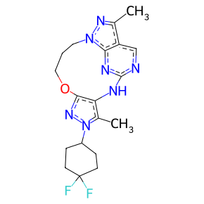 Cc1nn2c3nc(ncc13)Nc1c(nn(C3CCC(F)(F)CC3)c1C)OCCC2